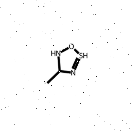 [CH2]C1N=[SH]ON1